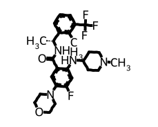 Cc1c([C@@H](C)NC(=O)c2cc(N3CCOCC3)c(F)cc2NC2CCN(C)CC2)cccc1C(F)(F)F